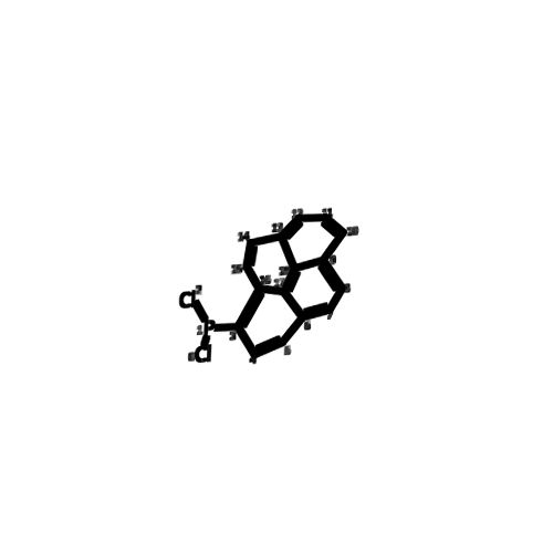 ClP(Cl)c1ccc2ccc3cccc4ccc1c2c34